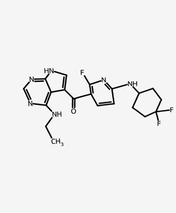 CCNc1ncnc2[nH]cc(C(=O)c3ccc(NC4CCC(F)(F)CC4)nc3F)c12